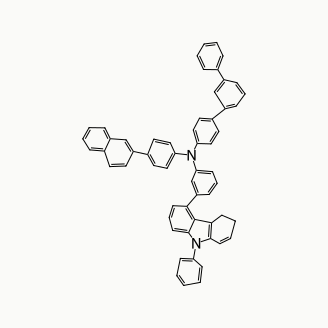 C1=Cc2c(c3c(-c4cccc(N(c5ccc(-c6cccc(-c7ccccc7)c6)cc5)c5ccc(-c6ccc7ccccc7c6)cc5)c4)cccc3n2-c2ccccc2)CC1